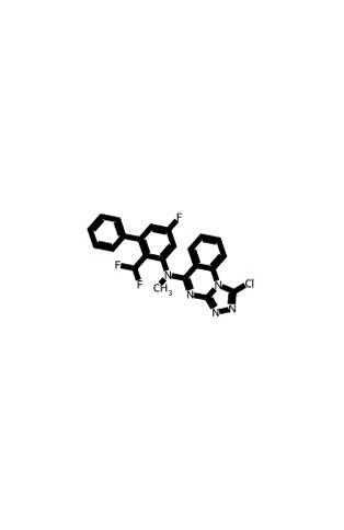 CN(c1cc(F)cc(-c2ccccc2)c1C(F)F)c1nc2nnc(Cl)n2c2ccccc12